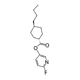 CCCC[C@H]1CC[C@H](C(=O)Oc2ccc(F)nc2)CC1